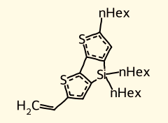 C=Cc1cc2c(s1)-c1sc(CCCCCC)cc1[Si]2(CCCCCC)CCCCCC